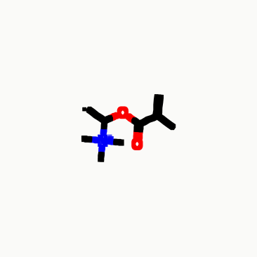 [CH2]C(OC(=O)C(=C)C)[N+](C)(C)C